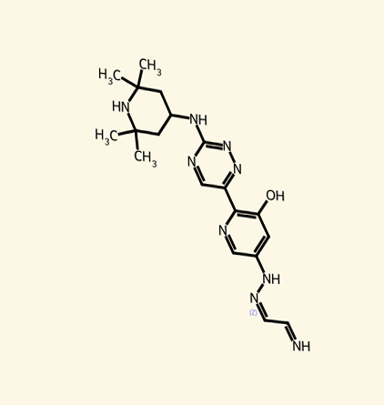 CC1(C)CC(Nc2ncc(-c3ncc(N/N=C\C=N)cc3O)nn2)CC(C)(C)N1